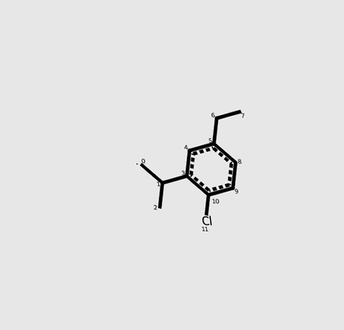 [CH2]C(C)c1cc(CC)ccc1Cl